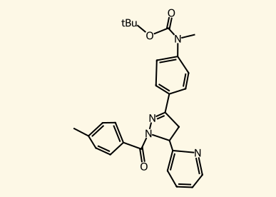 Cc1ccc(C(=O)N2N=C(c3ccc(N(C)C(=O)OC(C)(C)C)cc3)CC2c2ccccn2)cc1